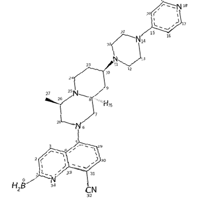 Bc1ccc2c(N3C[C@@H]4C[C@H](N5CCN(c6ccncc6)CC5)CCN4[C@H](C)C3)ccc(C#N)c2n1